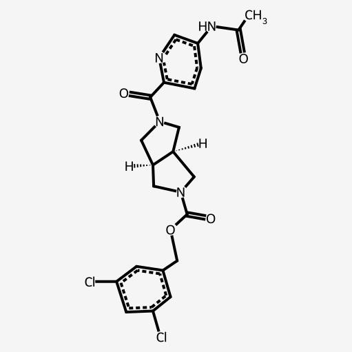 CC(=O)Nc1ccc(C(=O)N2C[C@H]3CN(C(=O)OCc4cc(Cl)cc(Cl)c4)C[C@H]3C2)nc1